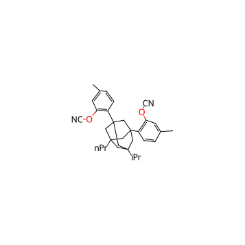 CCCC12CC3(c4ccc(C)cc4OC#N)CC(c4ccc(C)cc4OC#N)(C1)CC(C(C)C)(C2)C3